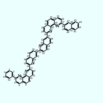 c1ccc(-c2ccc3ccc4ccc(-c5ccc6ccc(-c7ccc8ccc(-c9ccc%10ccc%11ccc(-c%12ccc%13ccccc%13c%12)nc%11c%10n9)cc8n7)cc6n5)nc4c3n2)cc1